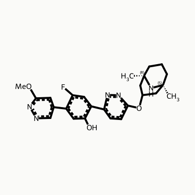 COc1cc(-c2cc(O)c(-c3ccc(OC4C[C@]5(C)CCC[C@](C)(C4)N5)nn3)cc2F)cnn1